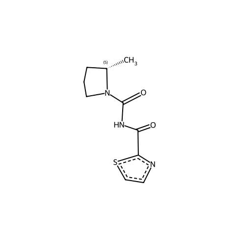 C[C@H]1CCCN1C(=O)NC(=O)c1nccs1